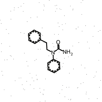 NC(=O)N(CCc1ccccc1)c1ccccc1